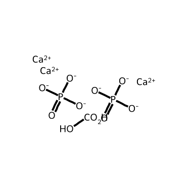 O=C(O)O.O=P([O-])([O-])[O-].O=P([O-])([O-])[O-].[Ca+2].[Ca+2].[Ca+2]